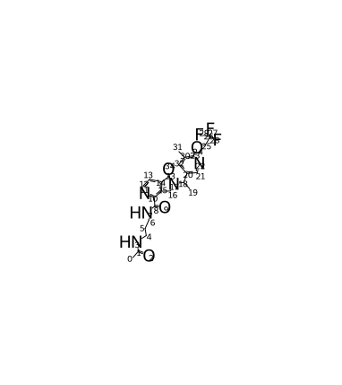 CC(=O)NCCCNC(=O)c1nccc2c1CN(C(C)c1cnc(OCC(F)(F)F)c(C)c1)C2=O